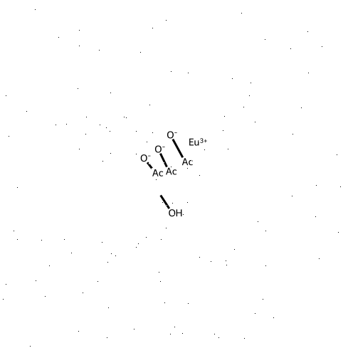 CC(=O)[O-].CC(=O)[O-].CC(=O)[O-].CO.[Eu+3]